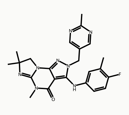 Cc1ncc(Cn2nc3c(c2Nc2ccc(F)c(C)c2)C(=O)N(C)C2=NC(C)(C)CN23)cn1